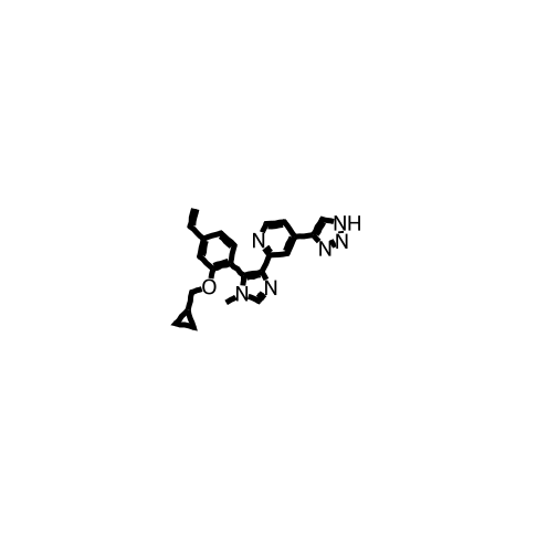 C=Cc1ccc(-c2c(-c3cc(-c4c[nH]nn4)ccn3)ncn2C)c(OCC2CC2)c1